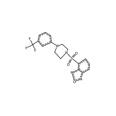 O=S(=O)(c1cccc2nonc12)N1CCN(c2cccc(C(F)(F)F)c2)CC1